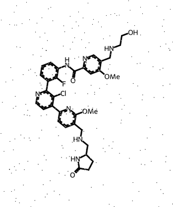 COc1cc(C(=O)Nc2cccc(-c3nccc(-c4ccc(CNCC5CCC(=O)N5)c(OC)n4)c3Cl)c2F)ncc1CNCCO